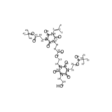 CC(C)=Cn1c(=O)n(CCC(=O)OCCn2c(=O)n(CCO)c(=O)n(CCOC(=O)C(C)(C)C)c2=O)c(=O)n(CCC(=O)OC(C)(C)C)c1=O